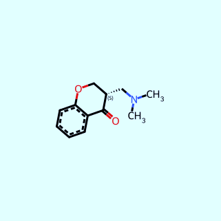 CN(C)C[C@H]1COc2ccccc2C1=O